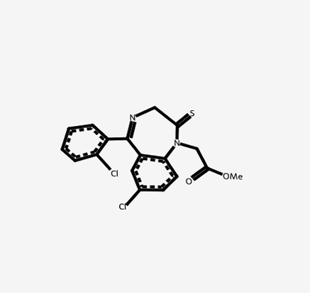 COC(=O)CN1C(=S)CN=C(c2ccccc2Cl)c2cc(Cl)ccc21